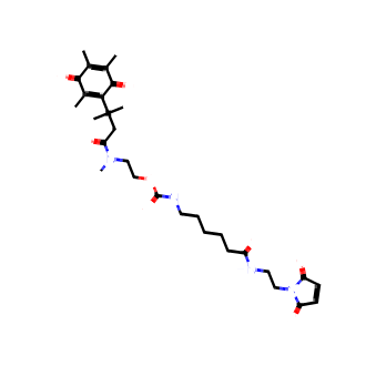 CC1=C(C)C(=O)C(C(C)(C)CC(=O)N(C)CCOC(=O)NCCCCCC(=O)NCCN2C(=O)C=CC2=O)=C(C)C1=O